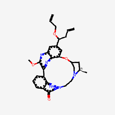 C=CCOC(CC=C)c1cc2c3nc(c(OC)nc3c1)-c1cccc3c(=O)n([nH]c13)CCN1CC(C[C@H]1C)O2